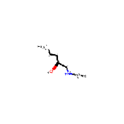 CCCCCNCC(=O)CCC(=O)O